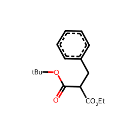 CCOC(=O)C(Cc1ccccc1)C(=O)OC(C)(C)C